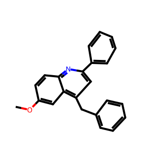 COc1ccc2nc(-c3ccccc3)cc(Cc3ccccc3)c2c1